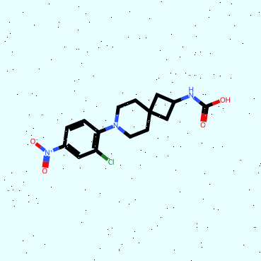 O=C(O)NC1CC2(CCN(c3ccc([N+](=O)[O-])cc3Cl)CC2)C1